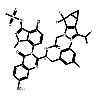 CCCCCCCCc1ccc2c(=O)n(-c3ccc(Cl)c4c(NS(C)(=O)=O)nn(C)c34)c([C@H](Cc3cc(F)cc(F)c3)NC(=O)Cn3nc(C(F)F)c4c3C(F)(F)C3CC43)nc2c1